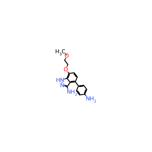 COCCOc1ccc(-c2ccc(N)cc2)c2c(N)n[nH]c12